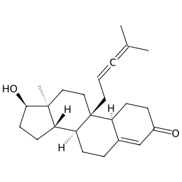 CC(C)=C=CC[C@]12CC[C@]3(C)[C@H](O)CC[C@H]3[C@@H]1CCC1=CC(=O)CC[C@@H]12